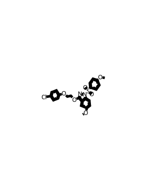 COc1ccc(S(=O)(=O)n2nc(OCCOc3ccc(Cl)cc3)c3cc(OC)ccc32)cc1